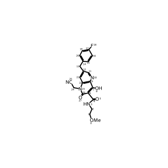 COCCNC(=O)c1c(O)c2ncc(Cc3ccc(F)cc3)cc2n(CC#N)c1=O